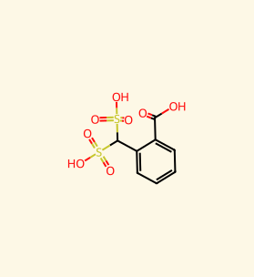 O=C(O)c1ccccc1C(S(=O)(=O)O)S(=O)(=O)O